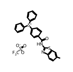 Cc1ccc2nc(NC(=O)c3ccc([S+](c4ccccc4)c4ccccc4)cc3)sc2c1.O=S(=O)([O-])C(F)(F)F